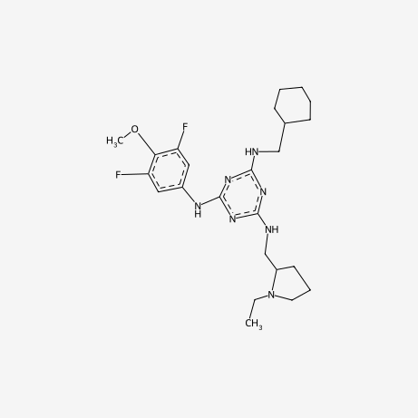 CCN1CCCC1CNc1nc(NCC2CCCCC2)nc(Nc2cc(F)c(OC)c(F)c2)n1